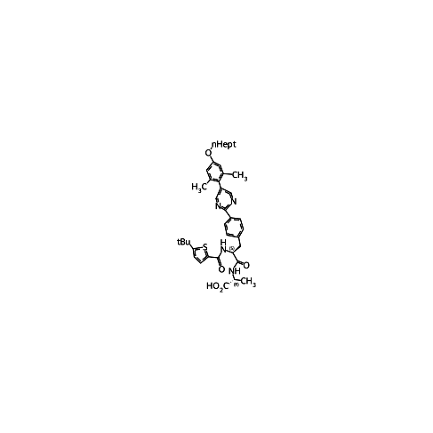 CCCCCCCOc1cc(C)c(-c2cnc(-c3ccc(C[C@H](NC(=O)c4ccc(C(C)(C)C)s4)C(=O)N[C@H](C)C(=O)O)cc3)nc2)c(C)c1